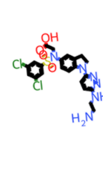 NCCNc1ccc(N2CCc3cc(N(CC(=O)O)S(=O)(=O)c4cc(Cl)cc(Cl)c4)ccc32)nn1